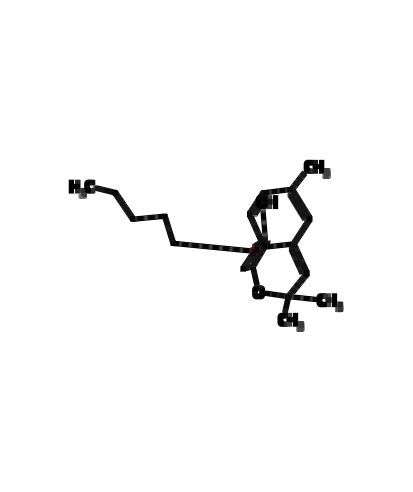 CCCCCC1=CC2OC(C)(C)C=C3C=C(C)C=CC32C(O)=C1